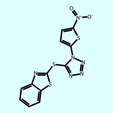 O=[N+]([O-])c1ccc(-n2nnnc2Sc2nc3ccccc3s2)s1